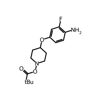 CC(C)(C)C(=O)ON1CCC(Oc2ccc(N)c(F)c2)CC1